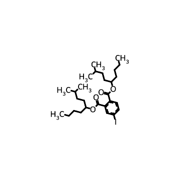 CCCCC(CCC(C)C)OC(=O)c1ccc(I)cc1C(=O)OC(CCCC)CCC(C)C